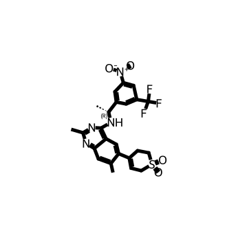 Cc1nc(N[C@H](C)c2cc([N+](=O)[O-])cc(C(F)(F)F)c2)c2cc(C3=CCS(=O)(=O)CC3)c(C)cc2n1